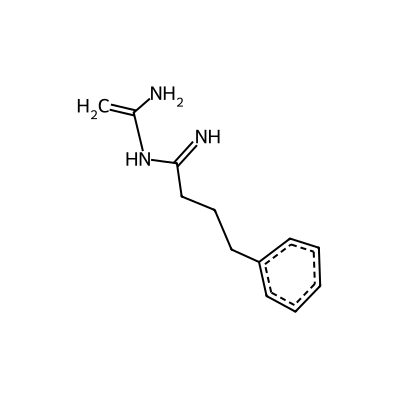 C=C(N)NC(=N)CCCc1ccccc1